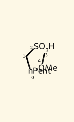 CCCCCCS(=O)(=O)O.COC